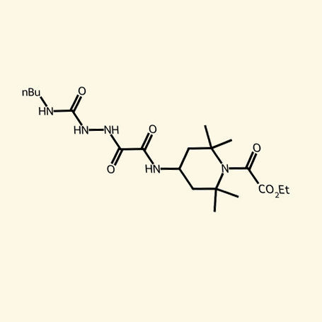 CCCCNC(=O)NNC(=O)C(=O)NC1CC(C)(C)N(C(=O)C(=O)OCC)C(C)(C)C1